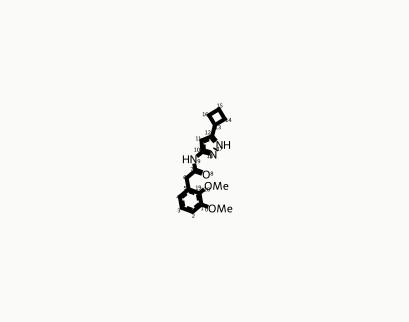 COc1cccc(CC(=O)Nc2cc(C3CCC3)[nH]n2)c1OC